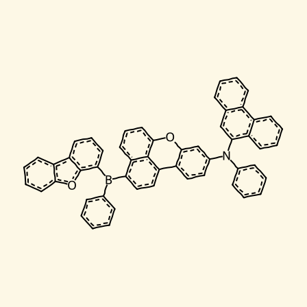 c1ccc(B(c2ccc3c4c(cccc24)Oc2cc(N(c4ccccc4)c4cc5ccccc5c5ccccc45)ccc2-3)c2cccc3c2oc2ccccc23)cc1